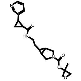 CC1(OC(=O)N2CC3C(CCNC(=O)C4CC4c4cccnc4)C3C2)COC1